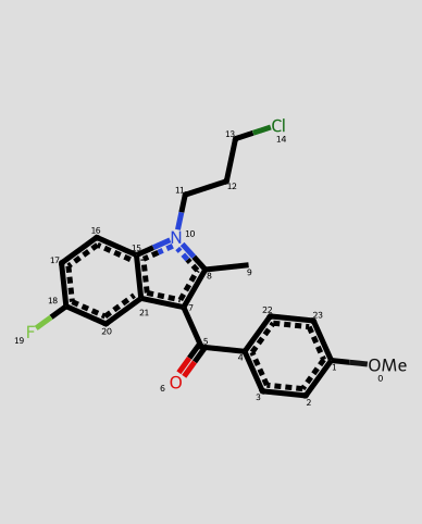 COc1ccc(C(=O)c2c(C)n(CCCCl)c3ccc(F)cc23)cc1